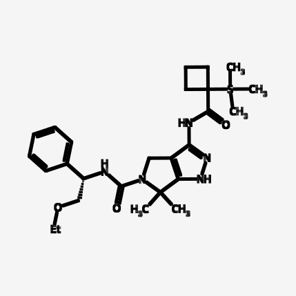 CCOC[C@@H](NC(=O)N1Cc2c(NC(=O)C3(S(C)(C)C)CCC3)n[nH]c2C1(C)C)c1ccccc1